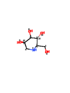 OCC1NC[C@@H](O)C(O)[C@@H]1O